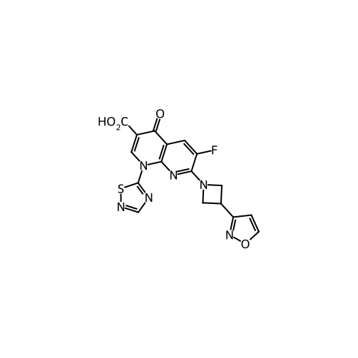 O=C(O)c1cn(-c2ncns2)c2nc(N3CC(c4ccon4)C3)c(F)cc2c1=O